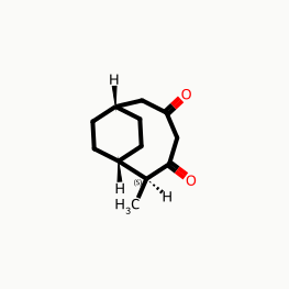 C[C@@H]1C(=O)CC(=O)C[C@H]2CC[C@@H]1CC2